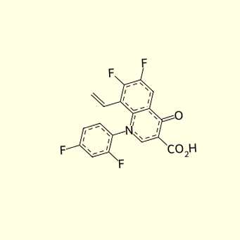 C=Cc1c(F)c(F)cc2c(=O)c(C(=O)O)cn(-c3ccc(F)cc3F)c12